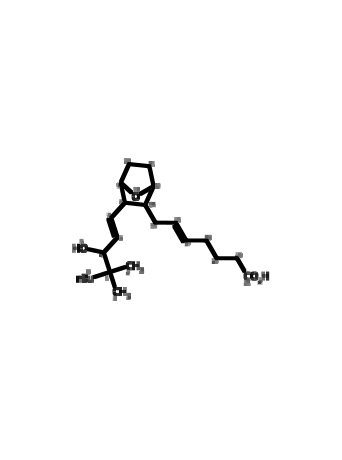 CCCCC(C)(C)C(O)/C=C/C1C2CCC(O2)C1C/C=C/CCCC(=O)O